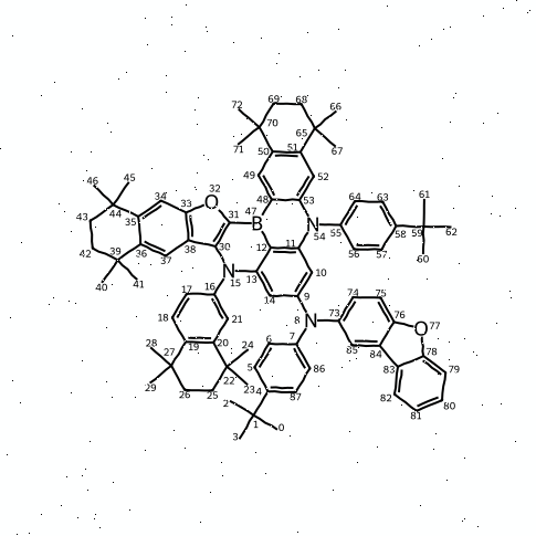 CC(C)(C)c1ccc(N(c2cc3c4c(c2)N(c2ccc5c(c2)C(C)(C)CCC5(C)C)c2c(oc5cc6c(cc25)C(C)(C)CCC6(C)C)B4c2cc4c(cc2N3c2ccc(C(C)(C)C)cc2)C(C)(C)CCC4(C)C)c2ccc3oc4ccccc4c3c2)cc1